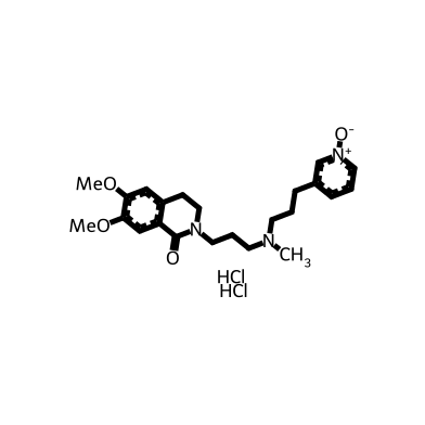 COc1cc2c(cc1OC)C(=O)N(CCCN(C)CCCc1ccc[n+]([O-])c1)CC2.Cl.Cl